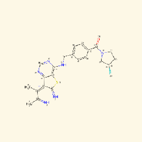 CC(=N)/C(C)=C1\C(=N)Sc2c(NCc3ccc(C(=O)N4CC[C@@H](F)C4)cc3)ncnc21